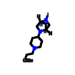 COCCN1CCC(N2C[C@H]3C[C@@H]2CN3I)CC1